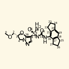 COC[C@H]1Cn2ncc(S(N)(=O)=NC(=O)Nc3c4c(cc5c3CCC5)CCC4)c2O1